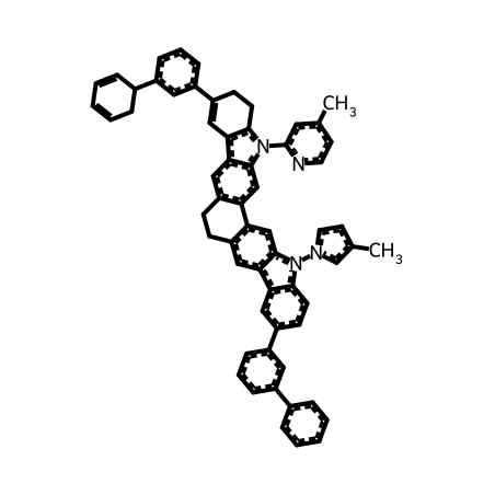 Cc1ccnc(-n2c3c(c4cc5c(cc42)-c2cc4c(cc2CC5)c2cc(-c5cccc(-c6ccccc6)c5)ccc2n4-n2ccc(C)c2)C=C(c2cccc(C4C=CC=CC4)c2)CC3)c1